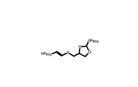 CCCCC/C=C/SCC1COC(CCCCC)O1